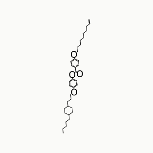 C=CCCCCCCCCOc1ccc(C(=O)Oc2ccc(OCCCC3CCC(CCCCC)CC3)cc2)cc1